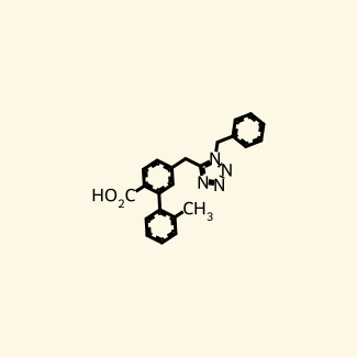 Cc1ccccc1-c1cc(Cc2nnnn2Cc2ccccc2)ccc1C(=O)O